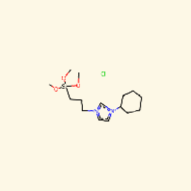 CO[Si](CCCn1cc[n+](C2CCCCC2)c1)(OC)OC.[Cl-]